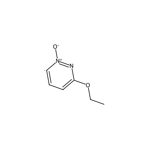 CCOc1cc[c][n+]([O-])n1